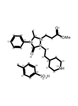 COC(=O)CCN1C(C)N(c2ccccc2)C(=O)N1CCC1CCNCC1.Cc1ccc(S(=O)(=O)O)cc1